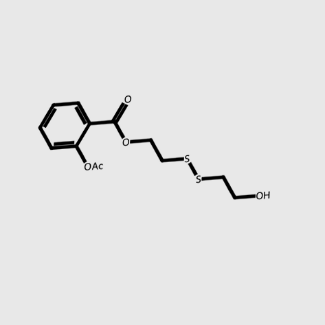 CC(=O)Oc1ccccc1C(=O)OCCSSCCO